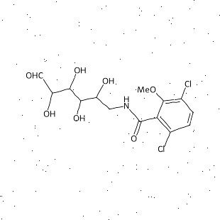 COc1c(Cl)ccc(Cl)c1C(=O)NCC(O)C(O)C(O)C(O)C=O